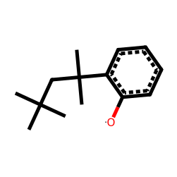 CC(C)(C)CC(C)(C)c1ccccc1[O]